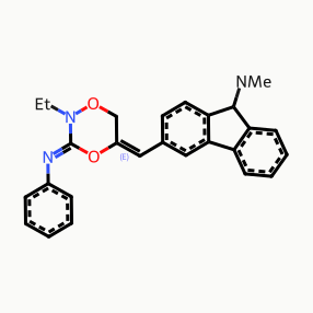 CCN1OC/C(=C\c2ccc3c(c2)-c2ccccc2C3NC)OC1=Nc1ccccc1